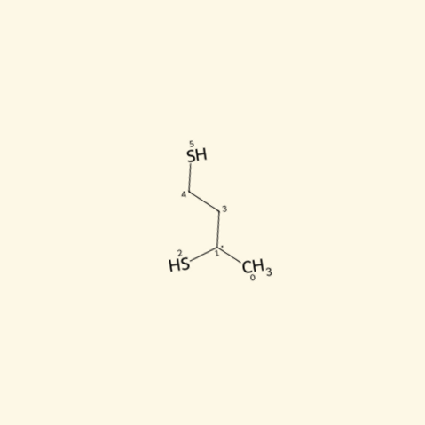 C[C](S)CCS